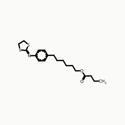 CCCC(=O)OCCCCCCc1ccc(N=C2SCCS2)cc1